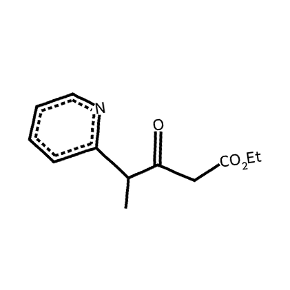 CCOC(=O)CC(=O)C(C)c1ccccn1